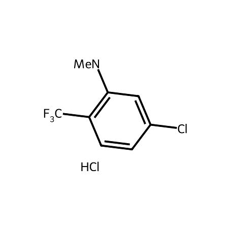 CNc1cc(Cl)ccc1C(F)(F)F.Cl